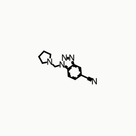 N#Cc1ccc2c(c1)nnn2CN1CCCC1